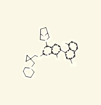 CCc1cccc2cc(O)cc(-c3ccc4c(N5CC6CCC(C5)N6)nc(OCC5(CN6CCCCC6)CC5)nc4c3F)c12